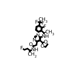 C=C(CCF)NC(=O)Cc1ncnc(N[C@H](C)c2cccc(C(C)(F)F)c2F)c1C1OCCO1